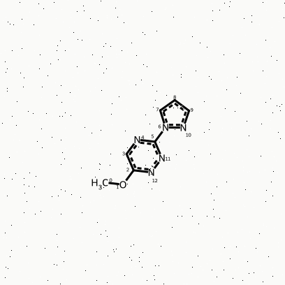 COc1cnc(-n2cccn2)nn1